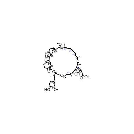 CO[C@H]1C[C@@H]2CC[C@@H](C)[C@@](O)(O2)C(=O)C(=O)N2CCCC[C@H]2C(=O)O[C@H]([C@H](C)C[C@@H]2CC[C@@H](O)[C@H](OC)C2)CC[C@H](C)/C=C(\C)[C@@H](O)[C@@H](O)/C(=N\OCC(=O)O)[C@H](C)C[C@H](C)/C=C/C=C/C=C/1C